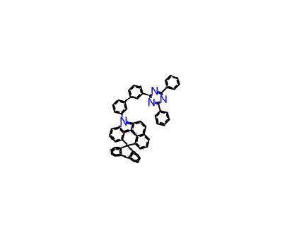 c1ccc(-c2nc(-c3ccccc3)nc(-c3cccc(-c4cccc(-n5c6cccc7c6c6c8c(cccc8ccc65)C75c6ccccc6-c6ccccc65)c4)c3)n2)cc1